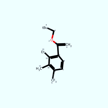 C=C(OCC(C)(C)C)c1ccc(C(F)(F)F)c(C)c1CC